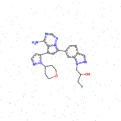 Nc1ncnn2c(-c3ccc4cnn(CC(O)CF)c4c3)cc(-c3ccnn3C3CCOCC3)c12